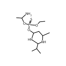 CCOP(=S)(OC(C)N)OC1CC(C)NC(C(C)C)N1